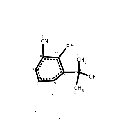 CC(C)(O)c1cccc(C#N)c1F